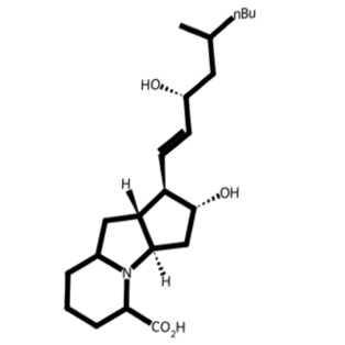 CCCCC(C)C[C@@H](O)/C=C/[C@@H]1[C@H]2CC3CCCC(C(=O)O)N3[C@@H]2C[C@H]1O